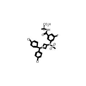 C[C@H](NC(=O)c1cc(F)cc(N(C2CN(C(c3ccc(Cl)cc3)c3ccc(Cl)cc3)C2)S(C)(=O)=O)c1)C(=O)O